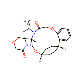 C[C@@H]1C[C@]2(COCC(=O)N2)[C@H]2CO[C@H]3CC[C@H](CC3)c3ccccc3OCC(=O)N12